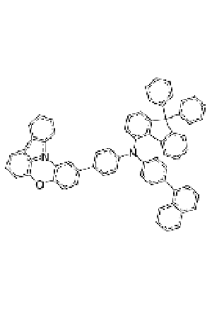 c1ccc(C2(c3ccccc3)c3ccccc3-c3c(N(c4ccc(-c5ccc6c(c5)-n5c7ccccc7c7cccc(c75)O6)cc4)c4ccc(-c5cccc6ccccc56)cc4)cccc32)cc1